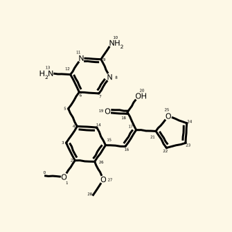 COc1cc(Cc2cnc(N)nc2N)cc(C=C(C(=O)O)c2ccco2)c1OC